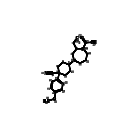 CCC1CN(C2CCC(C#N)(c3ccc(OC)cn3)CC2)CCCN1C(=O)O